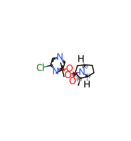 C[C@H]1[C@@H](Oc2cncc(Cl)n2)C[C@H]2CC[C@@H]1N2C(=O)OC(C)(C)C